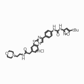 CC(C)(C)c1cc(NC(=O)Nc2ccc(-c3cn4c(n3)sc3cc(CC(=O)NCCN5CCOCC5)ccc34)cc2)no1.Cl